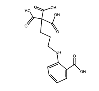 O=C(O)c1ccccc1NCCCC(C(=O)O)(C(=O)O)C(=O)O